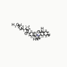 CN1CCN(CC2CCCN2C(=O)c2ccc(N/C=C(\N=N)c3cc4cc(F)ccc4[nH]c3=O)cc2)CC1